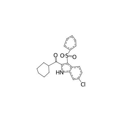 O=C(c1[nH]c2cc(Cl)ccc2c1S(=O)(=O)c1ccccc1)C1CCCCC1